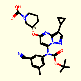 Cc1cc(C#N)cc(N(C(=O)OC(C)(C)C)c2cc(O[C@H]3CCCN(C(=O)O)C3)nc3c(C4CC4)cnn23)c1